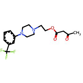 CC(=O)CC(=O)OCCN1CCN(c2cccc(C(F)(F)F)c2)CC1